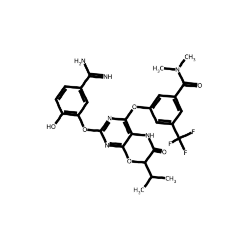 CC(C)C1Oc2nc(Oc3cc(C(=N)N)ccc3O)nc(Oc3cc(C(=O)N(C)C)cc(C(F)(F)F)c3)c2NC1=O